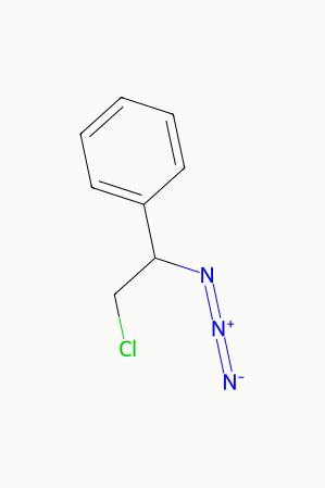 [N-]=[N+]=NC(CCl)c1ccccc1